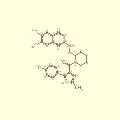 Cn1nc(C(=O)N2CCCCC2CNc2cnc3cc(F)c(F)cc3n2)c(-c2ccc(F)cc2)n1